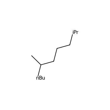 [CH2]C(C)CCCC(C)CCCC